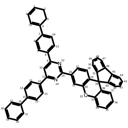 C1=CCCC(c2ccc(-c3cc(-c4ccc(-c5ccccc5)cc4)nc(-c4ccc5c(c4)Oc4ccccc4C54c5ccccc5-c5ccccc54)n3)cc2)=C1